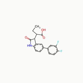 CCC(C(=O)O)C1C(=O)Nc2ccc(-c3ccc(F)c(F)c3)cc21